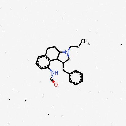 CCCN1CC(Cc2ccccc2)C2c3c(cccc3NC=O)CCC21